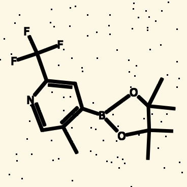 Cc1cnc(C(F)(F)F)cc1B1OC(C)(C)C(C)(C)O1